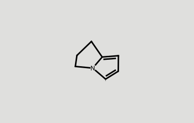 [c]1ccc2n1CCC2